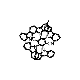 Cc1cc(C)c2c(c1)c1ccc3c4ccccc4oc3c1n2-c1c(C#N)c(-n2c3ccccc3c3ccccc32)c(-n2c3ccccc3c3ccccc32)c(C#N)c1-n1c2ccccc2c2ccccc21